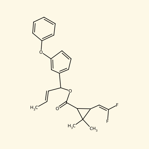 CC=CC(OC(=O)C1C(C=C(F)F)C1(C)C)c1cccc(Oc2ccccc2)c1